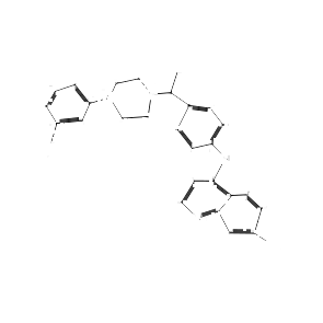 CC(c1ccc(Nc2ccnc3cc(Cl)ccc23)cc1)N1CCN(c2cccc(Cl)c2)CC1